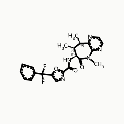 C[C@@H]1[C@H](NC(=O)c2ncc(C(F)(F)c3ccccc3)o2)C(=O)N(C)c2nccnc2[C@@H]1C